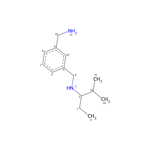 CCC(NCc1cccc(CN)c1)C(C)C